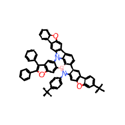 CC(C)(C)c1ccc(N2B3c4cc5oc(-c6ccccc6)c(-c6ccccc6)c5cc4-n4c5cc6c(cc5c5ccc(c3c54)-c3cc4c(cc32)oc2cc(C(C)(C)C)ccc24)oc2ccccc26)cc1